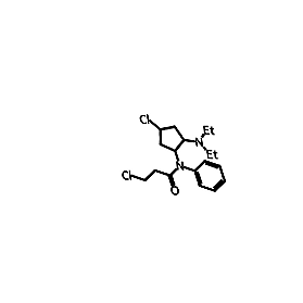 CCN(CC)C1CC(Cl)CC1N(C(=O)CCCl)c1ccccc1